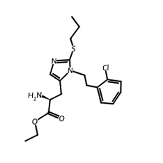 CCCSc1ncc(C[C@H](N)C(=O)OCC)n1CCc1ccccc1Cl